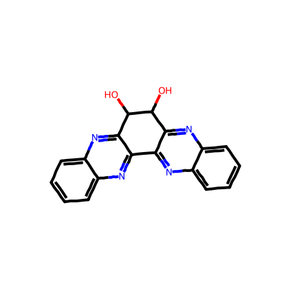 OC1c2nc3ccccc3nc2-c2nc3ccccc3nc2C1O